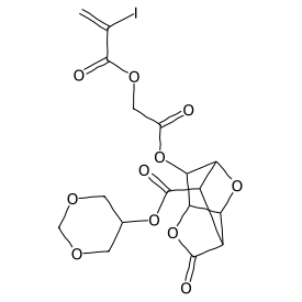 C=C(I)C(=O)OCC(=O)OC1C2OC(=O)C3C2OC1C3C(=O)OC1COCOC1